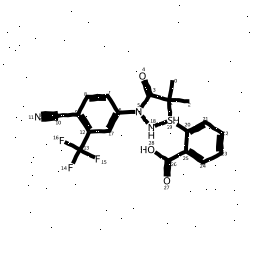 CC1(C)C(=O)N(c2ccc(C#N)c(C(F)(F)F)c2)N[SH]1c1ccccc1C(=O)O